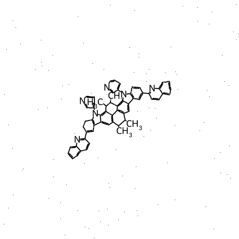 CC1c2cc3c4c(n(-c5cccnc5)c3c3c2-c2c(cc5c6cc(-c7ccc8ccccc8n7)ccc6n(-c6cccnc6)c5c2C(C)C3C)C1C)CCC(c1ccc2ccccc2n1)=C4